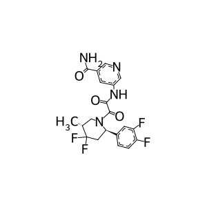 C[C@@H]1CN(C(=O)C(=O)Nc2cncc(C(N)=O)c2)[C@@H](c2ccc(F)c(F)c2)CC1(F)F